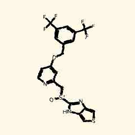 [O-][S+](Cc1cc(OCc2cc(C(F)(F)F)cc(C(F)(F)F)c2)ccn1)c1nc2cscc2[nH]1